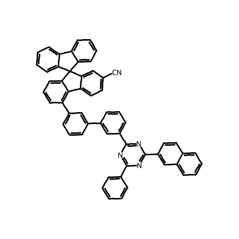 N#Cc1ccc2c(c1)C1(c3ccccc3-c3ccccc31)c1cccc(-c3cccc(-c4cccc(-c5nc(-c6ccccc6)nc(-c6ccc7ccccc7c6)n5)c4)c3)c1-2